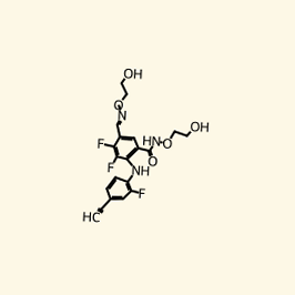 C#Cc1ccc(Nc2c(C(=O)NOCCO)cc(C=NOCCO)c(F)c2F)c(F)c1